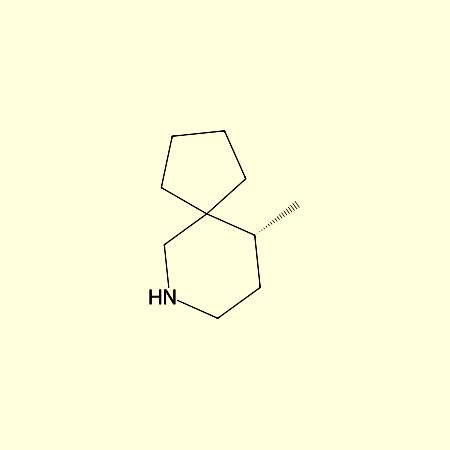 C[C@@H]1CCNCC12CCCC2